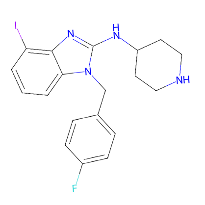 Fc1ccc(Cn2c(NC3CCNCC3)nc3c(I)cccc32)cc1